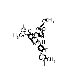 CCN(CC)c1cc2cnc(Nc3ccc(N4CCNC(C)C4)c(F)c3)nc2n(Cc2cncn2S(=O)(=O)CCOC)c1=O